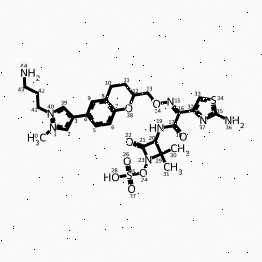 C[n+]1cc(-c2ccc3c(c2)CCC(CO/N=C(\C(=O)NC2C(=O)N(OS(=O)(=O)O)C2(C)C)c2csc(N)n2)O3)cn1CCCN